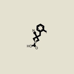 N#CC1(Cc2ccccc2I)CN(C(=O)O)C1